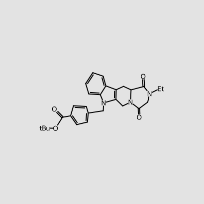 CCN1CC(=O)N2Cc3c(c4ccccc4n3Cc3ccc(C(=O)OC(C)(C)C)cc3)CC2C1=O